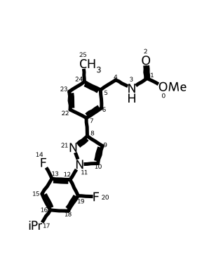 COC(=O)NCc1cc(-c2ccn(-c3c(F)cc(C(C)C)cc3F)n2)ccc1C